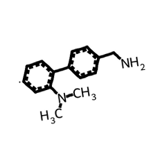 CN(C)c1c[c]ccc1-c1ccc(CN)cc1